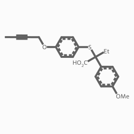 CC#CCOc1ccc(SC(CC)(C(=O)O)c2ccc(OC)cc2)cc1